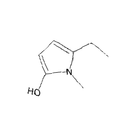 CCc1ccc(O)n1C